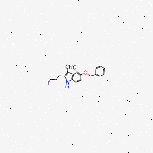 O=Cc1c(CCCI)[nH]c2ccc(OCc3ccccc3)cc12